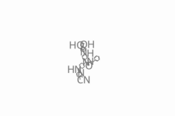 N#Cc1ccc(NC2CCC(N(C(=O)NCc3ccccc3)c3ccc(N4CCS(O)(O)CC4)cc3)CC2)nc1